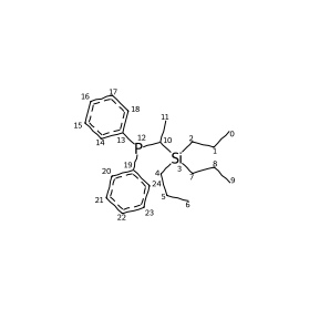 CCC[Si](CCC)(CCC)C(C)P(c1ccccc1)c1ccccc1